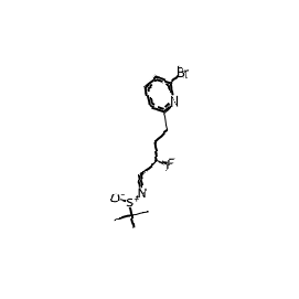 CC(C)(C)[S+]([O-])/N=C/[C@H](F)CCc1cccc(Br)n1